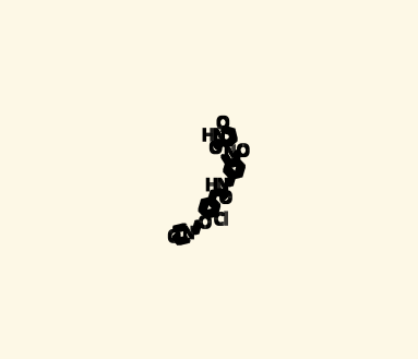 O=C(Cc1ccc(OCCN2CCOCC2)c(Cl)c1)NCc1ccc2c(c1)CN(C1CCC(=O)NC1=O)C2=O